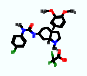 COc1ccc([C@@]23CC[C@@H](NC(=O)N(C)c4ccc(Br)cc4)C[C@@H]2N(C)CC3)cc1OC.O=C(O)C(F)(F)F